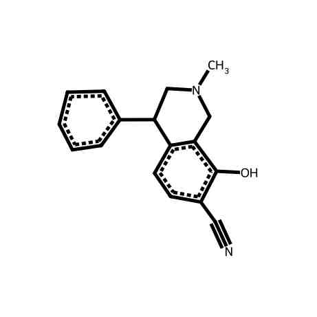 CN1Cc2c(ccc(C#N)c2O)C(c2ccccc2)C1